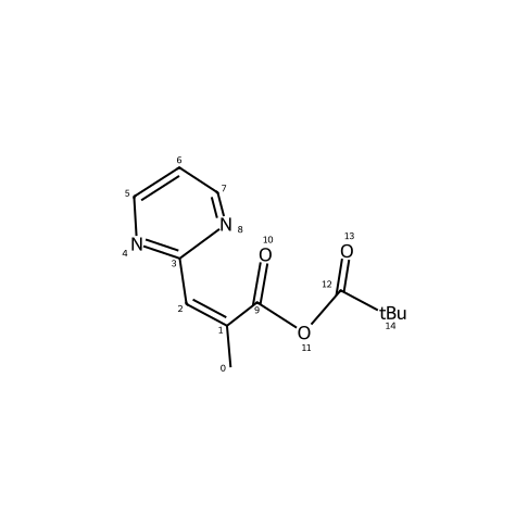 C/C(=C/c1ncccn1)C(=O)OC(=O)C(C)(C)C